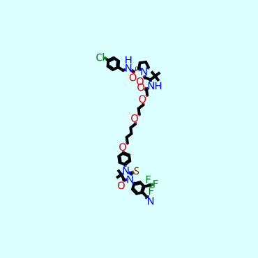 CC(C)(C)C(NC(=O)COCCCOCCCCCOc1ccc(N2C(=S)N(c3ccc(C#N)c(C(F)(F)F)c3)C(=O)C2(C)C)cc1)C(=O)N1CCC[C@H]1C(=O)NCc1ccc(Cl)cc1